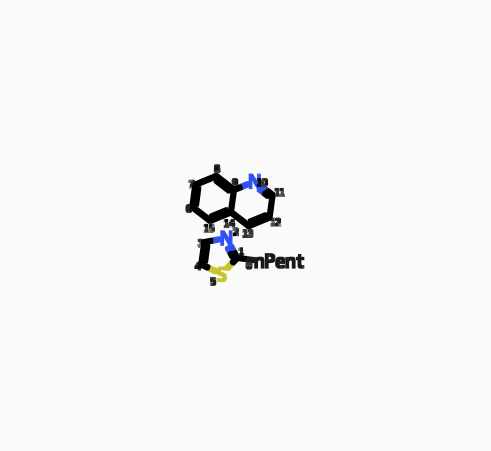 CCCCCc1nccs1.c1ccc2ncccc2c1